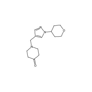 O=C1CCN(Cc2cnn(C3CCOCC3)c2)CC1